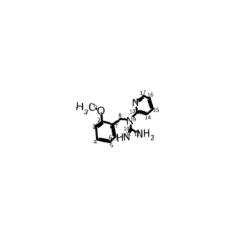 COc1ccccc1CN(C(=N)N)c1ccccn1